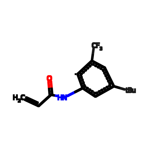 C=CC(=O)Nc1[c]c(C(F)(F)F)cc(C(C)(C)C)c1